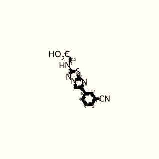 N#Cc1cccc(-c2cn3nc(NCC(=O)O)sc3n2)c1